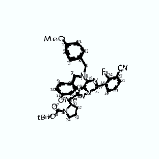 COc1ccc(CN(Cc2ccc(OC)cc2)c2nc(-c3cccc(C#N)c3F)cn3nc(CC4CCCN4C(=O)OC(C)(C)C)nc23)cc1